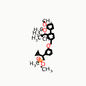 CCOP(C)(=O)CC(c1cccc(OCc2ccc(-c3cccc(OC)c3)c([C@@H](OC)C(C)(C)C)c2)c1)C1CC1